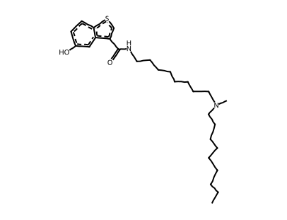 CCCCCCCCCN(C)CCCCCCCCNC(=O)c1csc2ccc(O)cc12